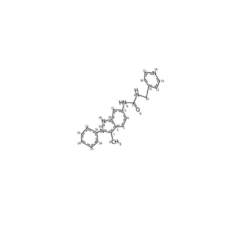 Cc1c2ccc(NC(=O)NCc3ccncc3)cc2nn1-c1ccccc1